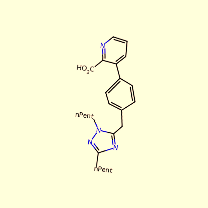 CCCCCc1nc(Cc2ccc(-c3cccnc3C(=O)O)cc2)n(CCCCC)n1